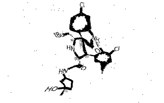 CC(C)(C)C[C@H]1N[C@@H](C(=O)NC2CC[C@](C)(O)C2)[C@H](c2cccc(Cl)c2F)[C@@]12C(=O)Nc1cc(Cl)ccc12